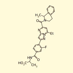 CCc1cc(C(=O)N2CCc3ccccc3C2C)nc2cc(-c3ccc(C(=O)NC(C)C(=O)O)cc3F)nn12